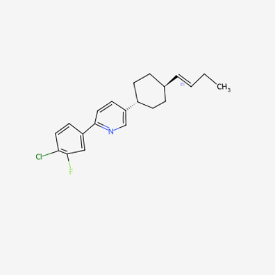 CC/C=C/[C@H]1CC[C@H](c2ccc(-c3ccc(Cl)c(F)c3)nc2)CC1